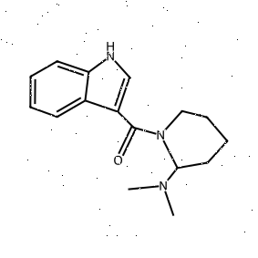 CN(C)C1CCCCN1C(=O)c1c[nH]c2ccccc12